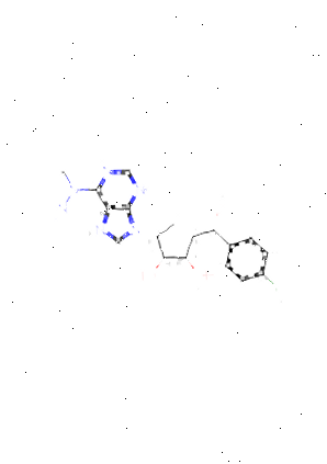 CN(N)c1ncnc2c1ncn2[C@@H]1C[C@H]([C@H](O)c2ccc(Cl)cc2)[C@@H](O)[C@H]1O